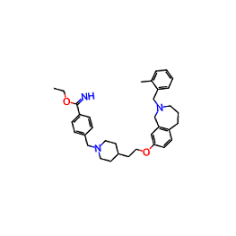 CCOC(=N)c1ccc(CN2CCC(CCOc3ccc4c(c3)CN(Cc3ccccc3C)CCC4)CC2)cc1